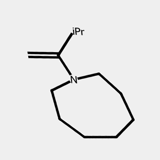 C=C(C(C)C)N1CCCCCCC1